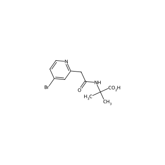 CC(C)(NC(=O)Cc1cc(Br)ccn1)C(=O)O